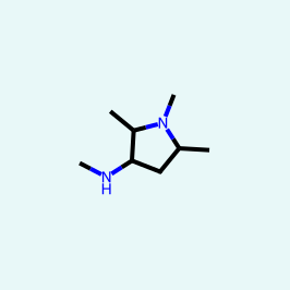 CNC1CC(C)N(C)C1C